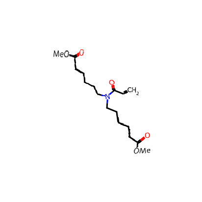 C=CC(=O)N(CCCCCC(=O)OC)CCCCCC(=O)OC